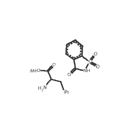 COC(=O)C(N)CC(C)C.O=C1NS(=O)(=O)c2ccccc21